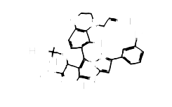 C=CCN1CCOc2ccc(-c3c(C(OC(C)(C)C)C(=O)OC)c(C)nc4cc(-c5cccc(Br)c5)nn34)c(Cl)c21